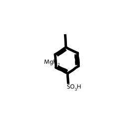 Cc1ccc(S(=O)(=O)O)cc1.[MgH2]